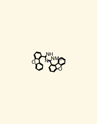 CN/C(=N\C(=N)c1cccc2oc3ccccc3c12)c1cccc2oc3ccccc3c12